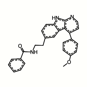 COc1ccc(-c2ccnc3[nH]c4ccc(CCNC(=O)c5ccccc5)cc4c23)cc1